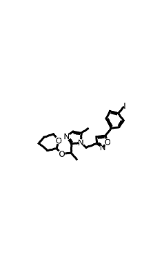 Cc1cnc(C(C)OC2CCCCO2)n1Cc1cc(-c2ccc(I)cc2)on1